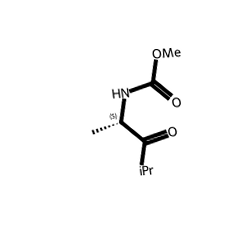 COC(=O)N[C@@H](C)C(=O)C(C)C